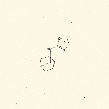 C1COC(NC2CC3CCC2CC3)=N1